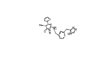 N#Cc1c(-c2cccs2)nc(NCc2cccc(Cc3nnc[nH]3)c2)[nH]c1=O